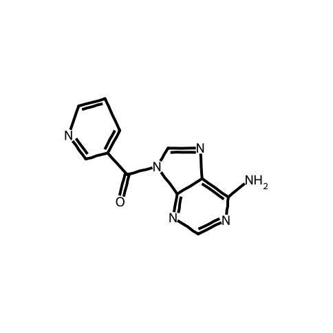 Nc1ncnc2c1ncn2C(=O)c1cccnc1